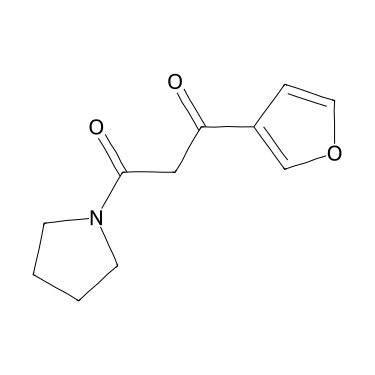 O=C(CC(=O)N1CCCC1)c1ccoc1